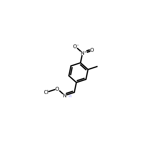 Cc1cc(/C=N\OCl)ccc1[N+](=O)[O-]